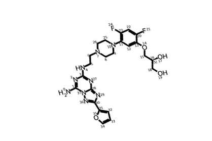 Nc1nc(NCCN2CCN(c3cc(OC[C@@H](O)CO)c(F)cc3F)CC2)nc2nc(-c3ccco3)nn12